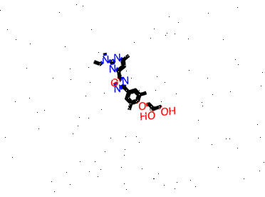 CCN(C)c1nc(C)cc(-c2nc(-c3cc(C)c(OC[C@H](O)CO)c(C)c3)no2)n1